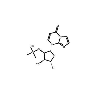 CC[C@H]1O[C@@H](n2ccc(=O)n3ccnc23)[C@H](O[Si](C)(C)C(C)(C)C)[C@@H]1O